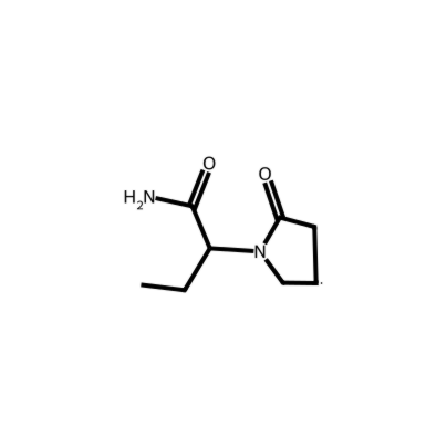 CCC(C(N)=O)N1C[CH]CC1=O